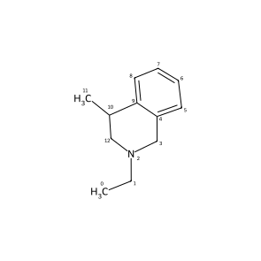 CCN1Cc2ccccc2C(C)C1